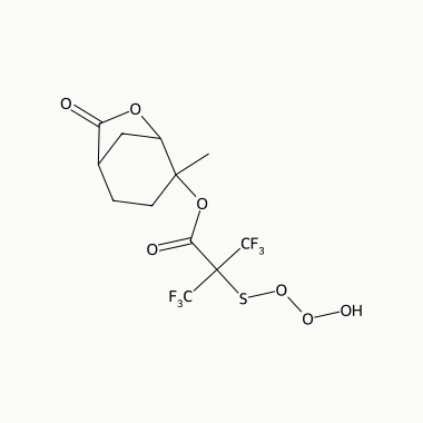 CC1(OC(=O)C(SOOO)(C(F)(F)F)C(F)(F)F)CCC2CC1OC2=O